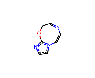 C1=C\n2ccnc2OC\C=N/1